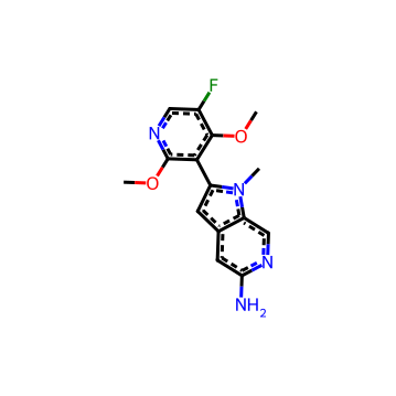 COc1ncc(F)c(OC)c1-c1cc2cc(N)ncc2n1C